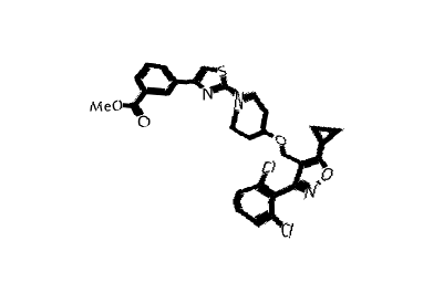 COC(=O)c1cccc(-c2csc(N3CCC(OCc4c(-c5c(Cl)cccc5Cl)noc4C4CC4)CC3)n2)c1